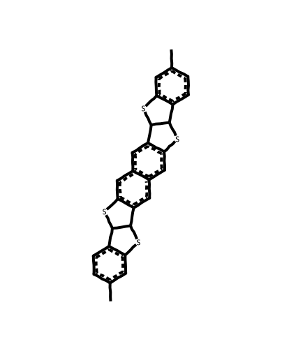 Cc1ccc2c(c1)SC1c3cc4cc5c(cc4cc3SC21)C1Sc2cc(C)ccc2C1S5